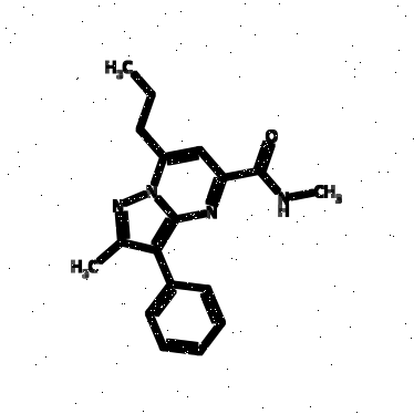 CCCc1cc(C(=O)NC)nc2c(-c3ccccc3)c(C)nn12